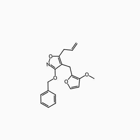 C=CCc1onc(OCc2ccccc2)c1Cc1occc1OC